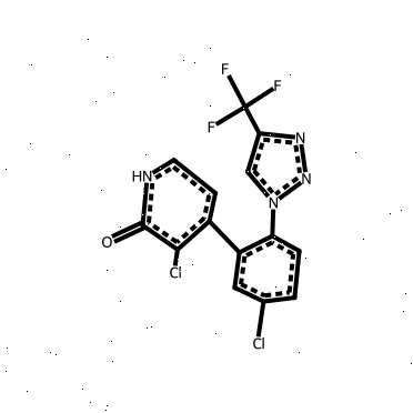 O=c1[nH]ccc(-c2cc(Cl)ccc2-n2cc(C(F)(F)F)nn2)c1Cl